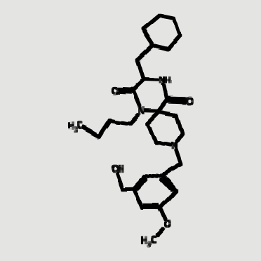 CCCCN1C(=O)C(CC2CCCCC2)NC(=O)C12CCN(Cc1cc(CO)cc(OC)c1)CC2